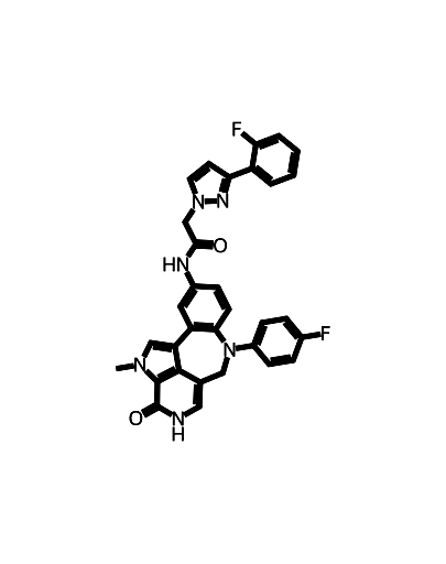 Cn1cc2c3c(c[nH]c(=O)c31)CN(c1ccc(F)cc1)c1ccc(NC(=O)Cn3ccc(-c4ccccc4F)n3)cc1-2